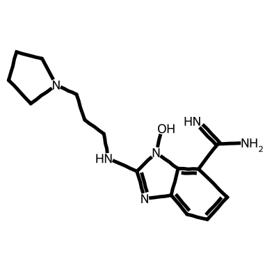 N=C(N)c1cccc2nc(NCCCN3CCCC3)n(O)c12